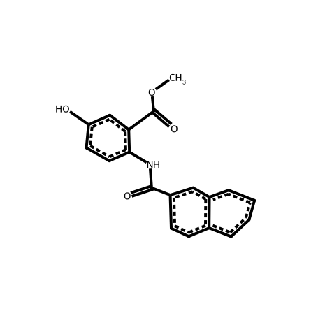 COC(=O)c1cc(O)ccc1NC(=O)c1ccc2ccccc2c1